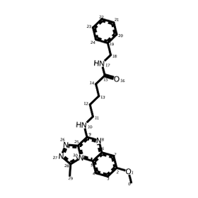 COc1ccc2c(c1)nc(NCCCCC(=O)NCc1ccccc1)c1nnc(C)n12